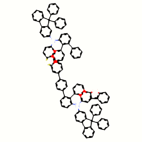 c1ccc(-c2cccc(N(c3ccc4c(c3)C(c3ccccc3)(c3ccccc3)c3ccccc3-4)c3ccc4sc5cc(-c6ccc(-c7cccc(N(c8ccc9c(c8)C(c8ccccc8)(c8ccccc8)c8ccccc8-9)c8ccc9oc%10ccccc%10c9c8)c7-c7ccccc7)cc6)ccc5c4c3)c2-c2ccccc2)cc1